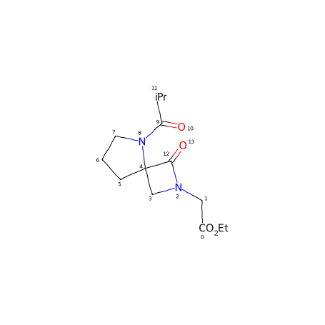 CCOC(=O)CN1CC2(CCCN2C(=O)C(C)C)C1=O